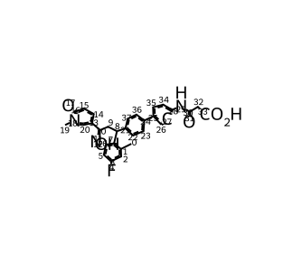 Cc1cc(F)ccc1C(C/C(=N\O)c1ccc(=O)n(C)c1)c1ccc(-c2ccc(NC(=O)CC(=O)O)cc2)cc1